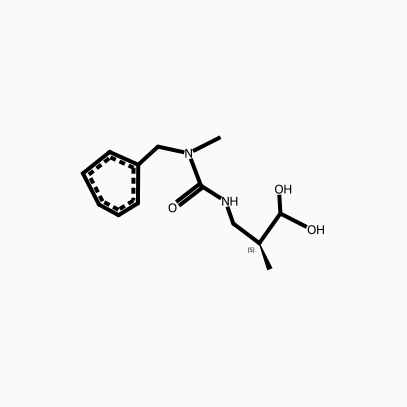 C[C@@H](CNC(=O)N(C)Cc1ccccc1)C(O)O